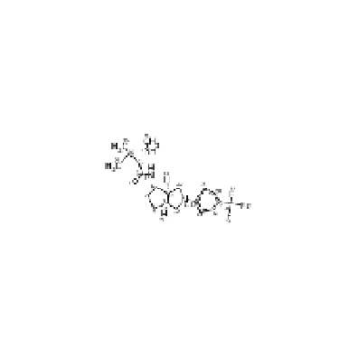 CN[C@H](C(=O)N[C@H]1CC[C@@H]2CN(c3ccc(C(F)(F)F)cc3)C[C@@H]21)C(C)C